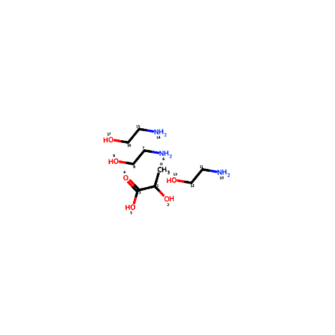 CC(O)C(=O)O.NCCO.NCCO.NCCO